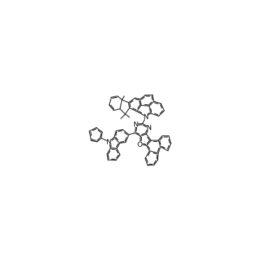 CC1(C)c2c(cc3ccc4cccc5c4c3c2n5-c2nc(-c3ccc4c(c3)c3ccccc3n4-c3ccccc3)c3oc4c5ccccc5c5ccccc5c4c3n2)C2(C)C=CC=CC12